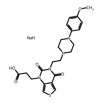 COc1ccc(N2CCN(CCn3c(=O)c4cscc4n(CCC(=O)O)c3=O)CC2)cc1.[NaH]